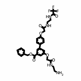 NCCNC(=O)COc1cc(C(=O)OCc2ccccc2)cc(-c2ccc(OCC(=O)NCCNC(=O)C(F)(F)F)cc2)c1